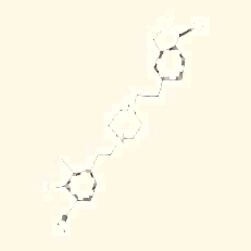 Cc1c(CCN2CCN(CCc3ccc4c(c3)COC4=O)CC2)ccc(C#N)c1F